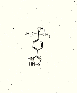 CC(C)(C)c1ccc(C2=CSNN2)cc1